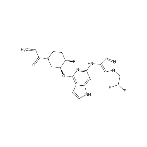 C=CC(=O)N1CC[C@@H](F)[C@@H](Oc2nc(Nc3cnn(CC(F)F)c3)nc3[nH]ccc23)C1